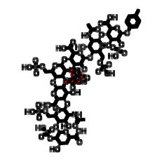 CC(=O)NC1[C@H](O[C@@H]2C(C(=O)O)O[C@@H](Oc3ccc(C)cc3)C(OS(=O)(=O)O)[C@H]2O)OC(COS(=O)(=O)O)[C@@H](O[C@@H]2OC(C(=O)O)[C@@H](O[C@@H]3OC(COS(=O)(=O)O)[C@@H](O[C@@H]4OC(C(=O)O)[C@@H](O[C@@H]5OC(COS(=O)(=O)O)[C@@H](O[C@@H]6OC(C(=O)O)C[C@H](O)C6OS(=O)(=O)O)[C@H](O)C5NC(C)=O)[C@H](O)C4OS(=O)(=O)O)[C@H](O)C3NC(C)=O)[C@H](O)C2OS(=O)(=O)O)[C@@H]1O